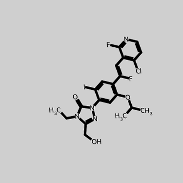 CCn1c(CO)nn(-c2cc(OC(C)C)c(/C(F)=C/c3c(Cl)ccnc3F)cc2I)c1=O